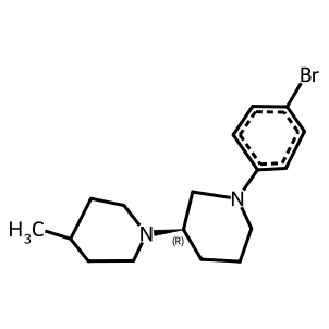 CC1CCN([C@@H]2CCCN(c3ccc(Br)cc3)C2)CC1